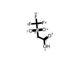 O=C(O)CS(=O)(=O)C(F)(F)F